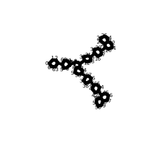 c1ccc(-c2ccc(-n3cc(-c4ccc(-c5ccc(-c6cccc7ccccc67)cc5)cc4)c4cc(-c5ccc(-c6ccc(-c7cccc8ccccc78)cc6)cc5)ccc43)cc2)cc1